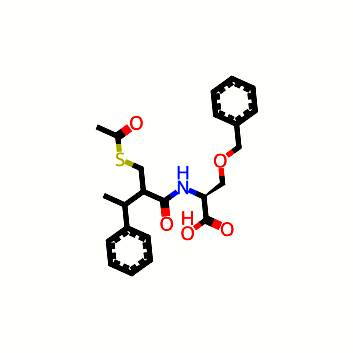 CC(=O)SCC(C(=O)N[C@@H](COCc1ccccc1)C(=O)O)C(C)c1ccccc1